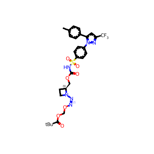 Cc1ccc(-c2cc(C(F)(F)F)nn2-c2ccc(S(=O)(=O)NC(=O)OC[C@@H]3CCN3/N=N\OCOC(=O)C(C)(C)C)cc2)cc1